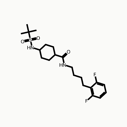 CC(C)(C)S(=O)(=O)NC1CCC(C(=O)NCCCCc2c(F)cccc2F)CC1